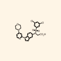 O=C(O)CN(c1ccc2c(ccn2-c2cc(N3CCOCC3)ccn2)c1)S(=O)(=O)c1cc(Cl)cc(Cl)c1